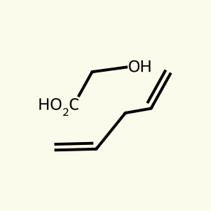 C=CCC=C.O=C(O)CO